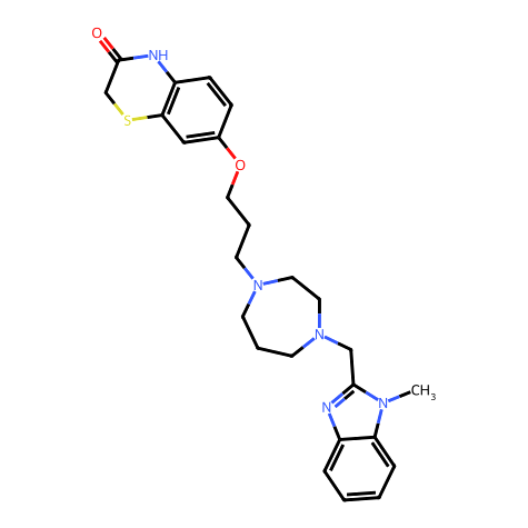 Cn1c(CN2CCCN(CCCOc3ccc4c(c3)SCC(=O)N4)CC2)nc2ccccc21